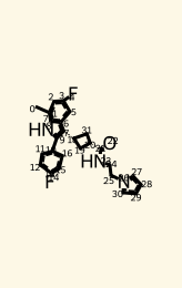 Cc1cc(F)cc2c1[nH]c(-c1ccc(F)cc1)c2[C@H]1C[C@@H](C(=O)NCCn2cccc2)C1